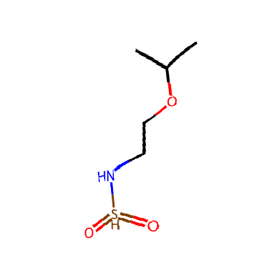 CC(C)OCCN[SH](=O)=O